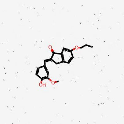 CCCOc1ccc2c(c1)C(=O)/C(=C/c1ccc(O)c(OC)c1)C2